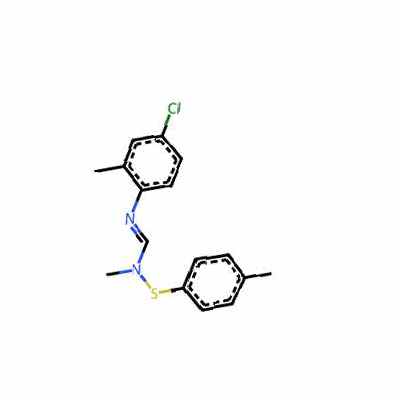 Cc1ccc(SN(C)/C=N/c2ccc(Cl)cc2C)cc1